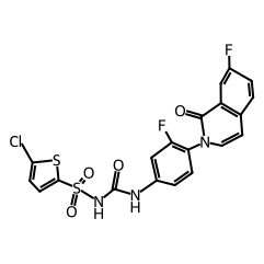 O=C(Nc1ccc(-n2ccc3ccc(F)cc3c2=O)c(F)c1)NS(=O)(=O)c1ccc(Cl)s1